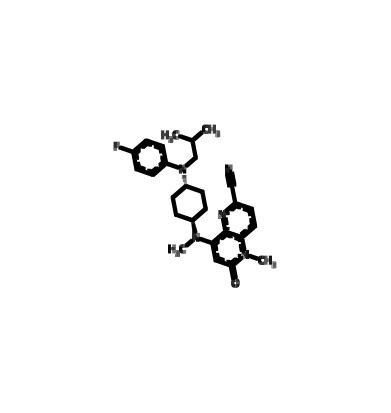 CC(C)CN(c1ccc(F)cc1)[C@H]1CC[C@H](N(C)c2cc(=O)n(C)c3ccc(C#N)nc23)CC1